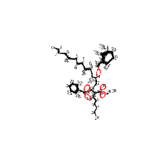 CCCCCCCCCCC[C@H](C[C@H](OC(=O)c1ccccc1)[C@H](CCCCCC)C(=O)OC)OCc1ccccc1